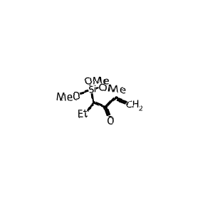 C=CC(=O)C(CC)[Si](OC)(OC)OC